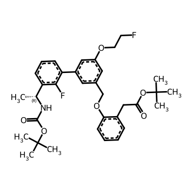 C[C@@H](NC(=O)OC(C)(C)C)c1cccc(-c2cc(COc3ccccc3CC(=O)OC(C)(C)C)cc(OCCF)c2)c1F